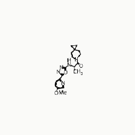 COc1ccc(-c2nnc(N[C@@H](C)C(=O)N3CCC4(CC3)CC4)o2)nc1